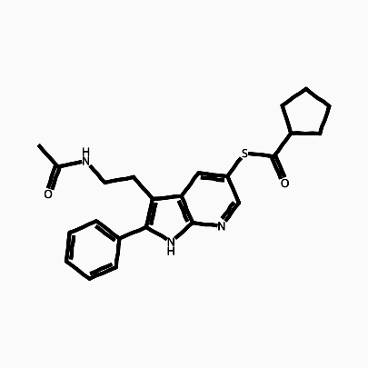 CC(=O)NCCc1c(-c2ccccc2)[nH]c2ncc(SC(=O)C3CCCC3)cc12